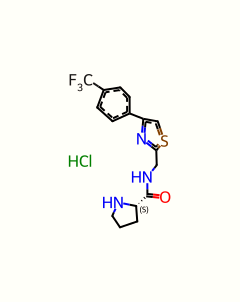 Cl.O=C(NCc1nc(-c2ccc(C(F)(F)F)cc2)cs1)[C@@H]1CCCN1